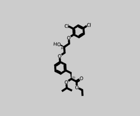 CCOC(=O)[C@H](Cc1cccc(OC[C@@H](O)COc2ccc(Cl)cc2Cl)c1)OC(C)C